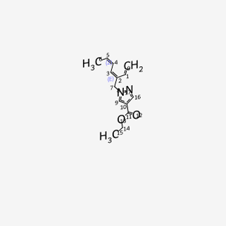 C=C/C(=C\C=C/C)Cn1cc(C(=O)OCC)cn1